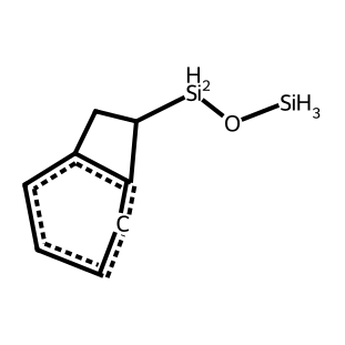 [SiH3]O[SiH2]C1Cc2ccccc21